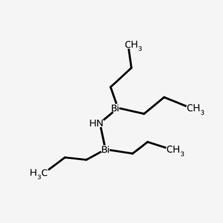 CC[CH2][Bi]([CH2]CC)[NH][Bi]([CH2]CC)[CH2]CC